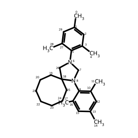 Cc1cc(C)c(N2CN(c3c(C)cc(C)cc3C)C3(CCCCCCC3)C2)c(C)c1